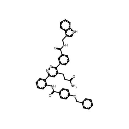 NC(=O)CCc1cc(-c2ccccc2NC(=O)c2ccc(OCc3ccccc3)cc2)nnc1-c1cccc(C(=O)NCc2c[nH]c3ccccc23)c1